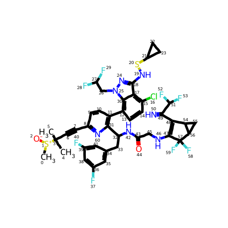 C[S+]([O-])C(C)(C)C#Cc1ccc(-c2ccc(Cl)c3c(NSC4CC4)nn(CC(F)F)c23)c(C(Cc2cc(F)cc(F)c2)NC(=O)CNC2=C(C(=N)C(F)F)C3CC3C2(F)F)n1